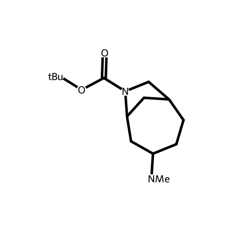 CNC1CCC2CC(C1)N(C(=O)OC(C)(C)C)C2